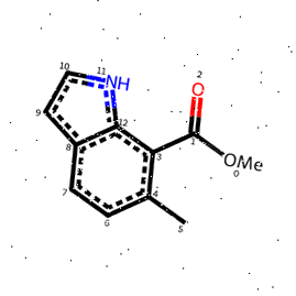 COC(=O)c1c(C)ccc2cc[nH]c12